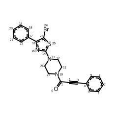 O=C(C#Cc1ccccc1)N1CCN(c2nc(-c3ccccc3)c(Br)s2)CC1